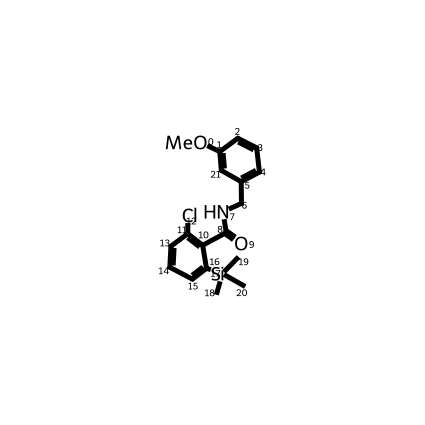 COc1cccc(CNC(=O)c2c(Cl)cccc2[Si](C)(C)C)c1